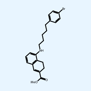 COC(=O)C1=Cc2cccc(NCCCCCc3ccc(Br)cc3)c2CC1